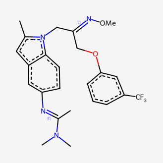 CO/N=C(\COc1cccc(C(F)(F)F)c1)Cn1c(C)cc2cc(/N=C(\C)N(C)C)ccc21